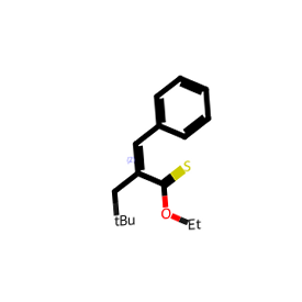 CCOC(=S)/C(=C\c1ccccc1)CC(C)(C)C